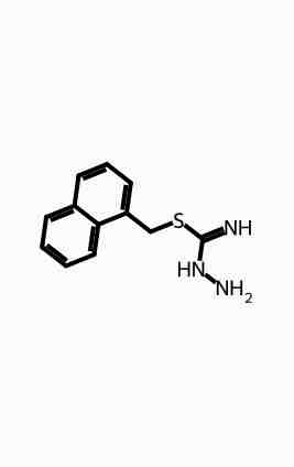 N=C(NN)SCc1cccc2ccccc12